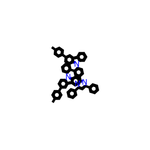 Cc1ccc(-c2ccc3c(c2)c2ccccc2n3-c2ccccc2-c2cc(-c3nc(-c4ccccc4)cc(-c4ccccc4)n3)ccc2-n2c3ccccc3c3cc(-c4ccc(C)cc4)ccc32)cc1